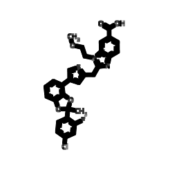 COCCn1c(Cc2cc(-c3cccc4c3OC(C)(c3ccc(Cl)cc3F)O4)cs2)nc2ccc(C(=O)O)cc21